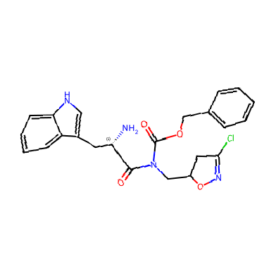 N[C@@H](Cc1c[nH]c2ccccc12)C(=O)N(CC1CC(Cl)=NO1)C(=O)OCc1ccccc1